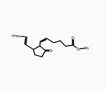 CCCCCC/C=C/C1CCC(=O)C1/C=C\CCCC(=O)OC(C)C